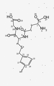 NC(CCC(=O)NC(CSCc1cccc(I)c1)C(=O)NCC(=O)O)C(=O)O